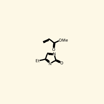 C=CC(=O)OC.CCC1=NC(=O)N=C1